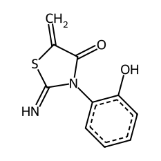 C=C1SC(=N)N(c2ccccc2O)C1=O